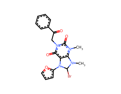 CN1c2c(c(=O)n(CC(=O)c3ccccc3)c(=O)n2C)N(c2ccco2)C1Br